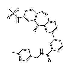 Cc1cnc(CNC(=O)c2cccc(-c3cnc4ccc5ccc(NS(C)(=O)=O)cc5c(=O)c4c3)c2)cn1